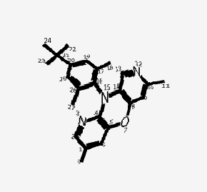 Cc1cnc2c(c1)Oc1cc(C)ncc1N2c1c(C)cc(C(C)(C)C)cc1C